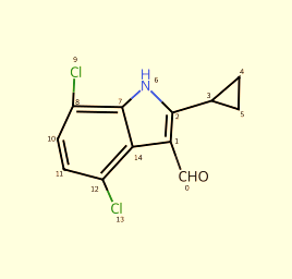 O=Cc1c(C2CC2)[nH]c2c(Cl)ccc(Cl)c12